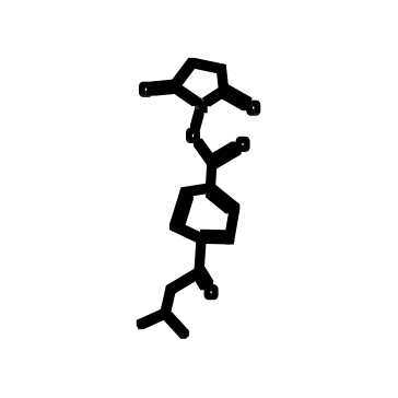 CC(C)CC(=O)c1ccc(C(=O)ON2C(=O)CCC2=O)cc1